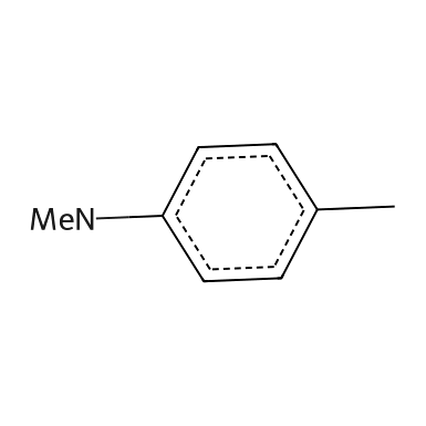 [CH]Nc1ccc(C)cc1